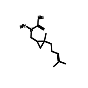 C=C(C(C)CC)N(CCC)CC1CC1(C)CCC=C(C)C